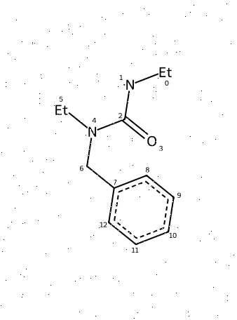 CC[N]C(=O)N(CC)Cc1ccccc1